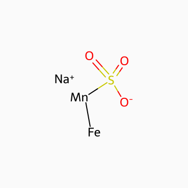 O=[S](=O)([O-])[Mn][Fe].[Na+]